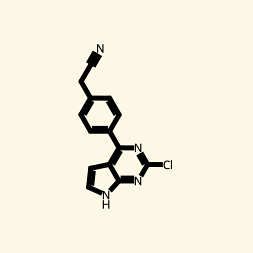 N#CCc1ccc(-c2nc(Cl)nc3[nH]ccc23)cc1